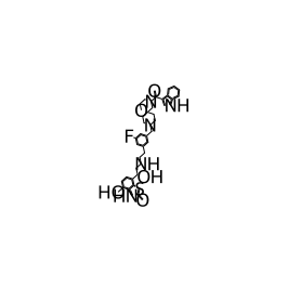 O=C(c1c[nH]c2ccccc12)N1CCOC2(CCN(Cc3cc(F)cc(CCNCC(O)c4ccc(O)c5[nH]c(=O)sc45)c3)CC2)C1